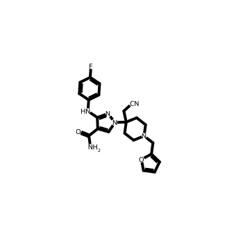 N#CCC1(n2cc(C(N)=O)c(Nc3ccc(F)cc3)n2)CCN(Cc2ccco2)CC1